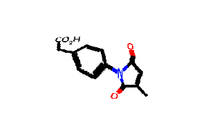 CC1=CC(=O)N(c2ccc(CC(=O)O)cc2)C1=O